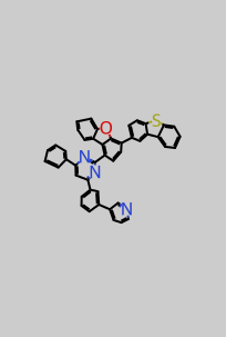 c1ccc(-c2cc(-c3cccc(-c4cccnc4)c3)nc(-c3ccc(-c4ccc5sc6ccccc6c5c4)c4oc5ccccc5c34)n2)cc1